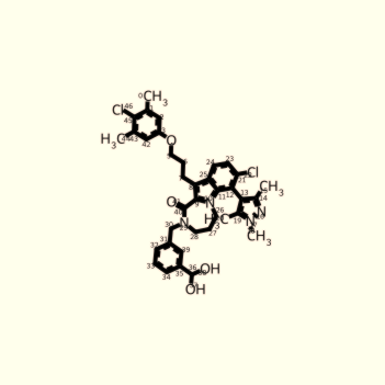 Cc1cc(OCCCc2c3n(c4c(-c5c(C)nn(C)c5C)c(Cl)ccc24)CCCN(Cc2cccc(C(O)O)c2)C3=O)cc(C)c1Cl